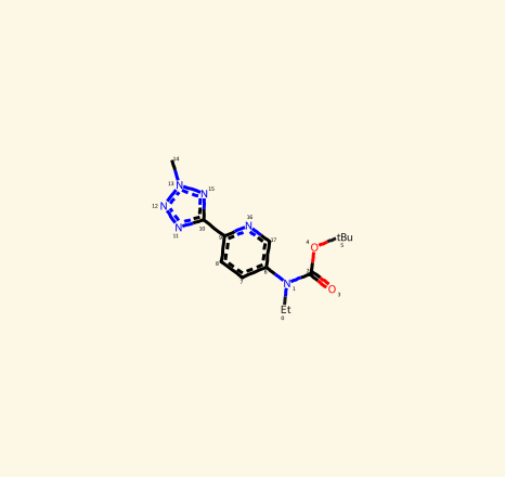 CCN(C(=O)OC(C)(C)C)c1ccc(-c2nnn(C)n2)nc1